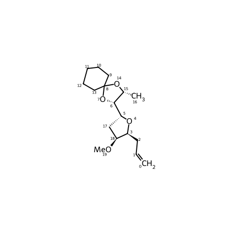 C=CC[C@@H]1O[C@@H]([C@@H]2OC3(CCCCC3)O[C@@H]2C)C[C@@H]1OC